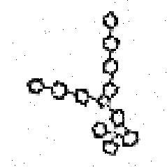 c1ccc(-c2ccc(-c3ccc(-c4ccc5c(c4)c(-c4ccc(-c6ccc(-c7ccccc7)cc6)cc4)cn5-c4ccc5c(c4)S(c4ccccc4)(c4ccccc4)c4ccccc4-5)cc3)cc2)cc1